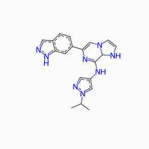 CC(C)n1cc(NC2=NC(c3ccc4cn[nH]c4c3)=CN3C=CNC23)cn1